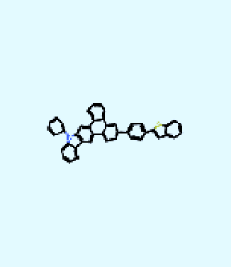 c1ccc(-n2c3ccccc3c3cc4c5ccc(-c6ccc(-c7cc8ccccc8s7)cc6)cc5c5ccccc5c4cc32)cc1